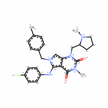 Cc1ccc(Cn2cc3c(c2Nc2ccc(F)cc2)c(=O)n(C)c(=O)n3CC2CCCN2C)cc1